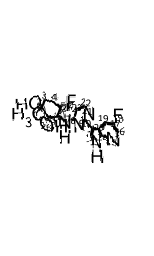 C[C@@]1(O)CCC[C@H](Nc2nc(-c3c[nH]c4ncc(F)cc34)ncc2F)[C@H]1O